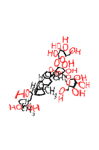 CC(C)(O)C(O)C/C=C(\CO)[C@H]1CC[C@]2(C)[C@@H]1CC[C@@H]1[C@@]3(C)CC[C@H](O[C@@H]4O[C@H](COC5O[C@H](CO)[C@@H](O)[C@H](O)[C@H]5O)[C@@H](O)[C@H](O)[C@H]4OC4O[C@H](CO)[C@@H](O)[C@H](O)[C@H]4O)C(C)(C)C3CC[C@]12C